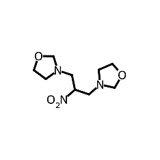 O=[N+]([O-])C(CN1CCOC1)CN1CCOC1